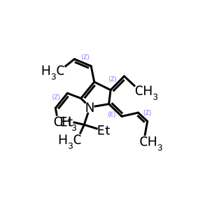 C\C=C/C=c1\c(=C/C)c(/C=C\C)c(/C=C\C)n1C(C)(CC)CC